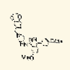 COc1ccc(-c2nnc(NC3CCN(Cc4ccc5c(c4)OCCO5)CC3)c3cc(OC)ccc23)cc1